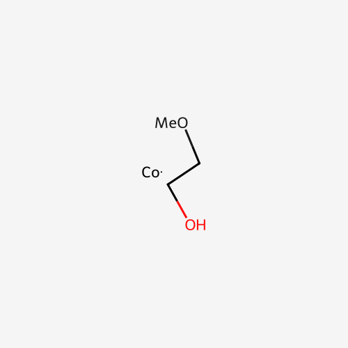 COCCO.[Co]